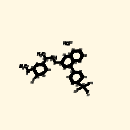 COc1cc([C@@H](C)NCc2cc(-c3ccc(C(F)(F)F)cc3)c3ccccc3c2)ccc1F.Cl